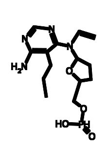 C=CN(c1ncnc(N)c1CCC)C1CCC(CO[PH](=O)O)O1